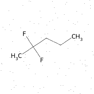 CCCC(C)(F)F